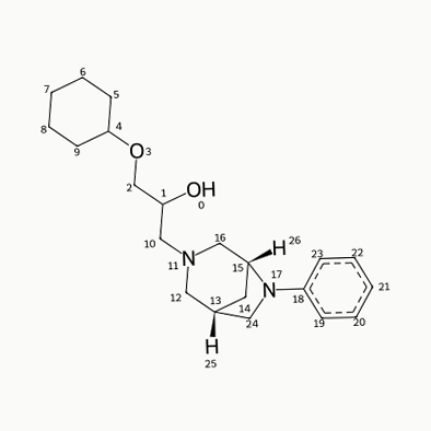 OC(COC1CCCCC1)CN1C[C@@H]2C[C@H](C1)N(c1ccccc1)C2